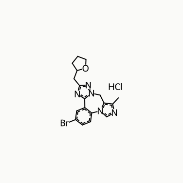 Cc1ncn2c1Cn1nc(CC3CCCO3)nc1-c1cc(Br)ccc1-2.Cl